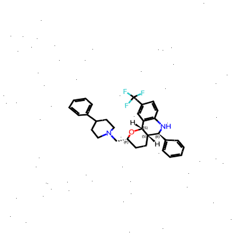 FC(F)(F)c1ccc2c(c1)[C@H]1O[C@@H](CN3CCC(c4ccccc4)CC3)CC[C@H]1[C@H](c1ccccc1)N2